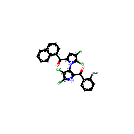 COc1ccccc1C(=O)c1[nH]c(Cl)c(Cl)c1-n1c(C(=O)c2cccc3ccccc23)cc(Cl)c1Cl